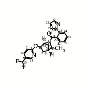 C[C@@H]1[C@H]2C[C@@H](Oc3ccc(C(F)F)cn3)[C@H](C2)N1C(=O)c1ccccc1-n1nccn1